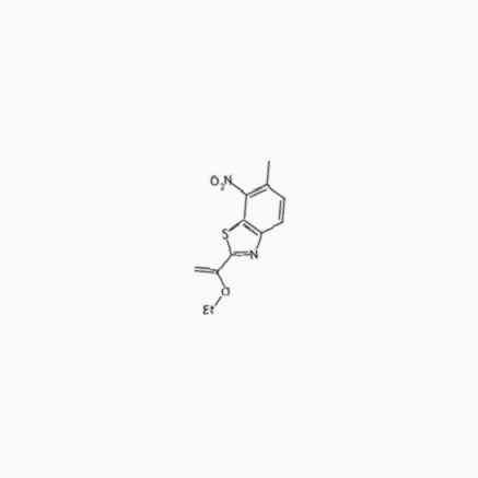 C=C(OCC)c1nc2ccc(C)c([N+](=O)[O-])c2s1